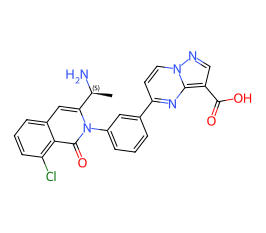 C[C@H](N)c1cc2cccc(Cl)c2c(=O)n1-c1cccc(-c2ccn3ncc(C(=O)O)c3n2)c1